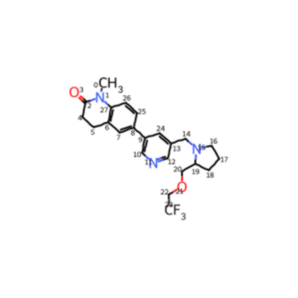 CN1C(=O)CCc2cc(-c3cncc(CN4CCCC4COCC(F)(F)F)c3)ccc21